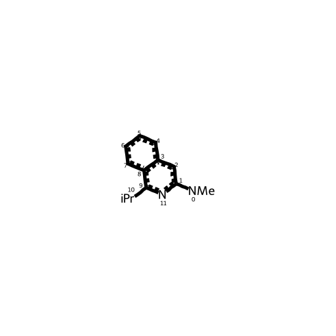 CNc1cc2ccccc2c(C(C)C)n1